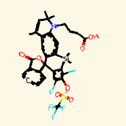 CC1=CC(C)(C)N(CCCC(=O)O)c2cc3c(cc21)C1(OC(=O)c2ccccc21)c1cc(F)c(OS(=O)(=O)C(F)(F)F)c(F)c1[Si]3(C)C